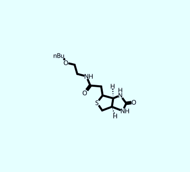 CCCCOCCNC(=O)CC1SC[C@@H]2NC(=O)N[C@H]12